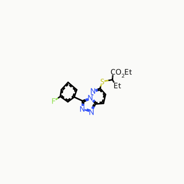 CCOC(=O)C(CC)Sc1ccc2nnc(-c3cccc(F)c3)n2n1